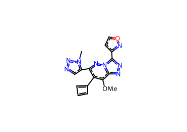 COc1c(C2=CC=C2)c(-c2cnnn2C)nn2c(-c3ccon3)nnc12